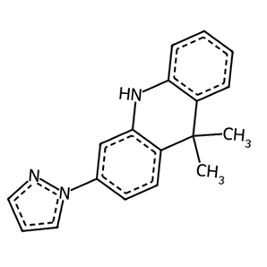 CC1(C)c2ccccc2Nc2cc(-n3cccn3)ccc21